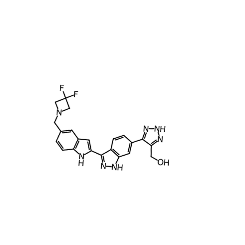 OCc1n[nH]nc1-c1ccc2c(-c3cc4cc(CN5CC(F)(F)C5)ccc4[nH]3)n[nH]c2c1